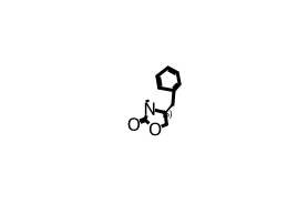 CN1C(=O)OC[C@@H]1Cc1ccccc1